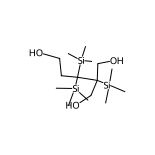 C[Si](C)(C)C(CO)(CO)C(CCO)([Si](C)(C)C)[Si](C)(C)C